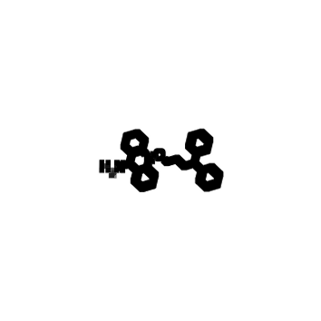 NC1C2=C(CCCC2)N(OCCCC(c2ccccc2)c2ccccc2)c2ccccc21